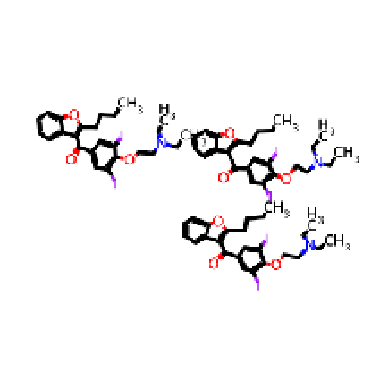 CCCCc1oc2ccccc2c1C(=O)c1cc(I)c(OCCN(CC)CC)c(I)c1.CCCCc1oc2ccccc2c1C(=O)c1cc(I)c(OCCN(CC)CC)c(I)c1.CCCCc1oc2ccccc2c1C(=O)c1cc(I)c(OCCN(CC)CC)c(I)c1